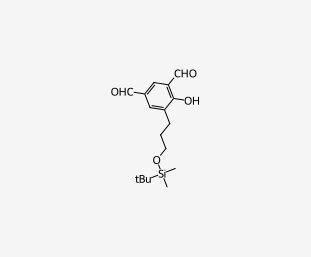 CC(C)(C)[Si](C)(C)OCCCc1cc(C=O)cc(C=O)c1O